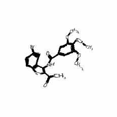 COc1cc(C(=O)Nc2c(C(C)=O)oc3ccc(Br)cc23)cc(OC)c1OC